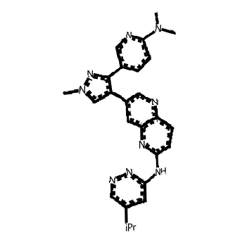 CC(C)c1cnnc(Nc2ccc3ncc(-c4cn(C)nc4-c4ccc(N(C)C)nc4)cc3n2)c1